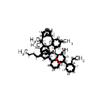 CCCCc1ccc(N(c2ccc(-c3ccccc3CC)cc2S)c2cc(C)cc3c2-c2ccccc2C(C)(C)c2cccc-3c2N)c(-c2ccccc2)c1